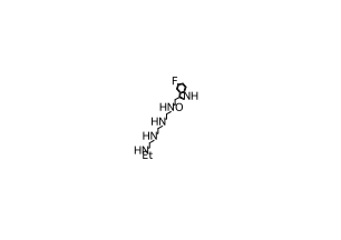 CCNCCCNCCCNCCCNC(=O)Cc1c[nH]c2ccc(F)cc12